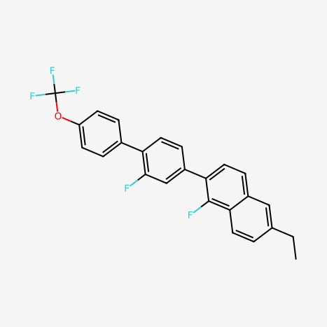 CCc1ccc2c(F)c(-c3ccc(-c4ccc(OC(F)(F)F)cc4)c(F)c3)ccc2c1